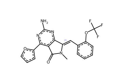 CN1C(=O)c2c(nc(N)nc2-c2ccco2)/C1=C/c1ccccc1OC(F)(F)F